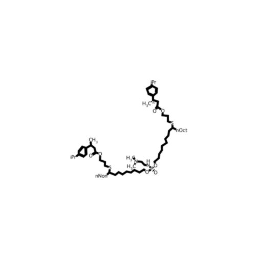 CCCCCCCCCC(CCCCCCCCOP(=O)(NCCN(C)C)OCCCCCCCCCC(CCCCCCCC)SCCCOC(=O)C[C@H](C)c1ccc(C(C)C)cc1)SCCCOC(=O)CC(C)c1ccc(C(C)C)cc1